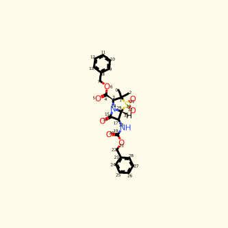 CC1(C)[C@H](C(=O)OCc2ccccc2)N2C(=O)C(NC(=O)OCc3ccccc3)[C@H]2S1(=O)=O